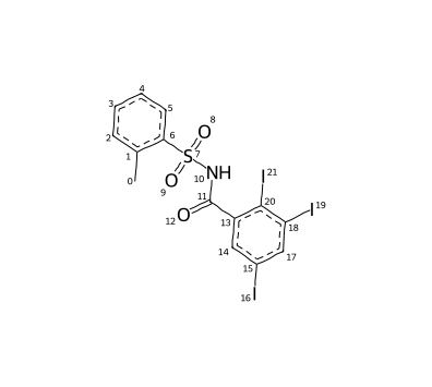 Cc1ccccc1S(=O)(=O)NC(=O)c1cc(I)cc(I)c1I